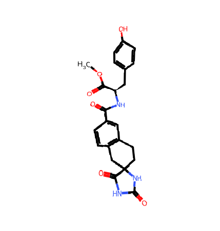 COC(=O)[C@@H](Cc1ccc(O)cc1)NC(=O)c1ccc2c(c1)CCC1(C2)NC(=O)NC1=O